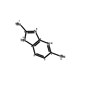 CC(C)(C)c1ccc2[nH]c(C(C)(C)C)nc2n1